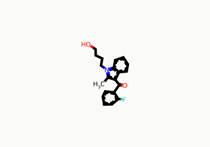 Cc1c(C(=O)c2ccccc2F)c2ccccc2n1CCCCO